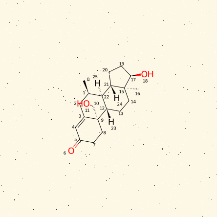 C[C@@H]1CC2=CC(=O)CC[C@]2(CO)[C@H]2CC[C@]3(C)[C@H](O)CC[C@H]3[C@H]12